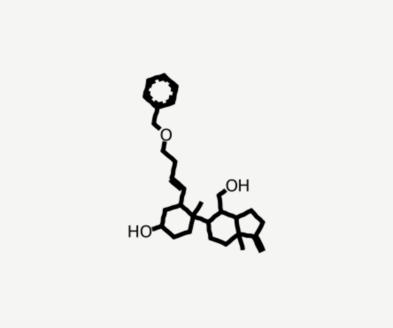 C=C1CCC2C(CO)C(C3(C)CCC(O)CC3C=CCCOCc3ccccc3)CCC12C